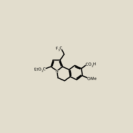 CCOC(=O)c1cc(CC(F)(F)F)c2n1CCc1cc(OC)c(C(=O)O)cc1-2